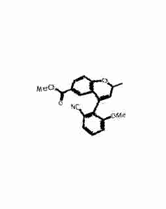 COC(=O)c1ccc2c(c1)C(c1c(C#N)cccc1OC)=CC(C)O2